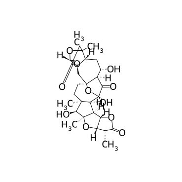 C[C@H]1C(=O)O[C@@H]2[C@H]1O[C@]1(C)[C@H]2[C@H]2[C@](C)(CC[C@]34C[C@]56OC(=O)C[C@H]5OC(C)(C)[C@@H]6C[C@H](O)[C@H]3C(=O)[C@@]2(O)O4)[C@@H]1O